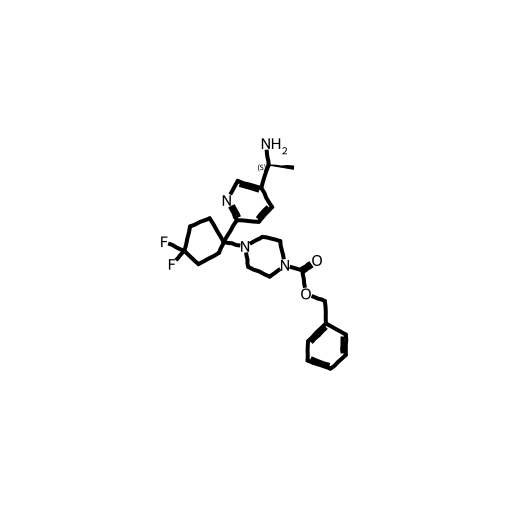 C[C@H](N)c1ccc(C2(N3CCN(C(=O)OCc4ccccc4)CC3)CCC(F)(F)CC2)nc1